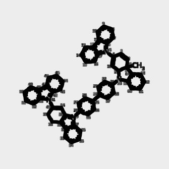 CC12C=CC(n3c4ccccc4c4ccccc43)=CC1N(c1ccc(-c3ccc(-n4c5c(c6ccccc64)CCC(n4c6ccccc6c6ccccc64)=C5)cc3)cc1)c1ccccc12